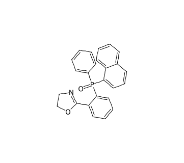 O=P(c1ccccc1)(c1ccccc1C1=NCCO1)c1cccc2ccccc12